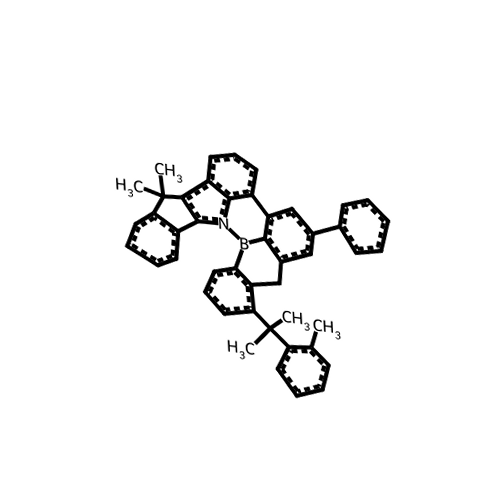 Cc1ccccc1C(C)(C)c1cccc2c1Cc1cc(-c3ccccc3)cc3c1B2n1c2c(c4cccc-3c41)C(C)(C)c1ccccc1-2